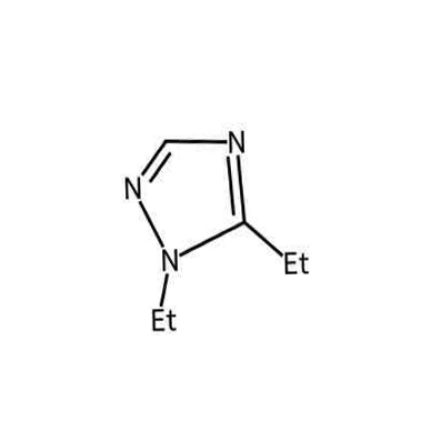 CCc1ncnn1CC